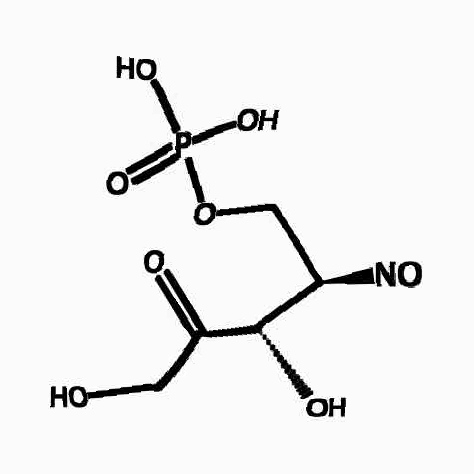 O=N[C@H](COP(=O)(O)O)[C@H](O)C(=O)CO